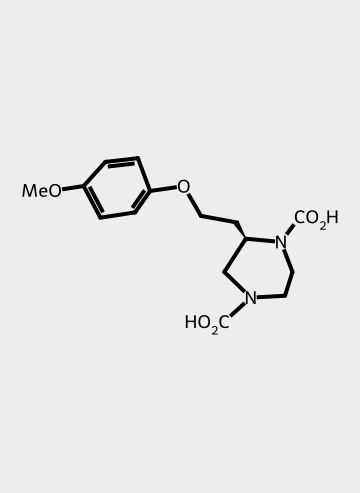 COc1ccc(OCC[C@@H]2CN(C(=O)O)CCN2C(=O)O)cc1